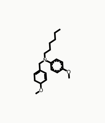 CCCCCCN(CC1=CCC(OC)C=C1)c1ccc(OC)cc1